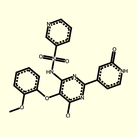 COc1ccccc1Oc1c(Cl)nc(-c2cc[nH]c(=O)c2)nc1NS(=O)(=O)c1cccnc1